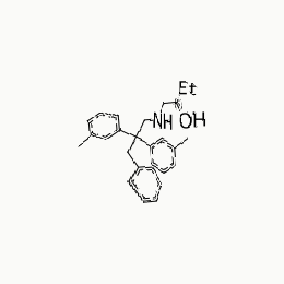 CC[C@H](O)CNCC(Cc1ccccc1)(c1cccc(C)c1)c1cccc(C)c1